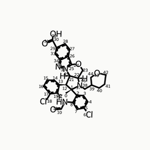 C[C@@]1(c2ccc(Cl)cc2NC=O)[C@@H](c2cccc(Cl)c2F)[C@H]2[C@H](COc3c4ccc(C(=O)O)cc4nn32)N1CC1CCCOC1